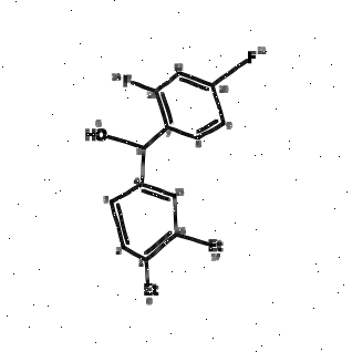 CCc1ccc(C(O)c2ccc(F)cc2F)cc1CC